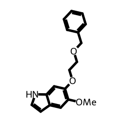 COc1cc2cc[nH]c2cc1OCCOCc1ccccc1